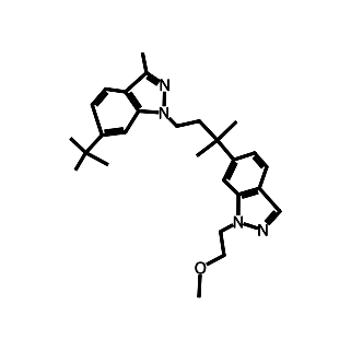 COCCn1ncc2ccc(C(C)(C)CCn3nc(C)c4ccc(C(C)(C)C)cc43)cc21